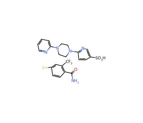 NC(=O)c1ccc(F)cc1C(F)(F)F.O=S(=O)(O)c1ccc(N2CCN(c3ccccn3)CC2)nc1